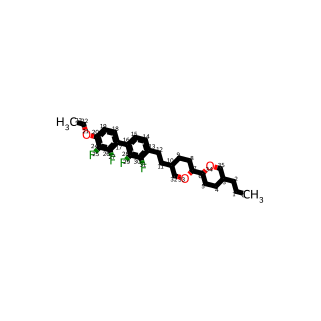 CCCC1CCC(C2CCC(CCc3ccc(-c4ccc(OCC)c(F)c4F)c(F)c3F)CO2)OC1